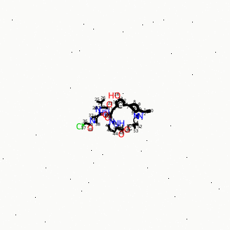 C#Cc1nn2c3cc(ccc13)-c1cc(O)cc(c1)C[C@H](NC(=O)[C@H](C(C)C)N(C)C(=O)C1CN(C(=O)CCl)C1)C(=O)N1CCC[C@H](N1)C(=O)OCC(C)(C)C2